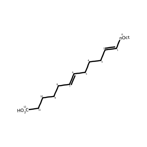 CCCCCCCCC=CCCCC=CCCCCC(=O)O